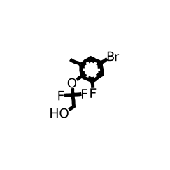 Cc1cc(Br)cc(F)c1OC(F)(F)CO